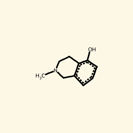 CN1CCc2c(O)cccc2C1